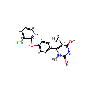 CCn1c(-c2ccc(Oc3ncccc3Cl)cc2)c(C)c(=O)[nH]c1=O